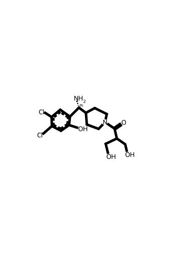 N[C@@H](c1cc(Cl)c(Cl)cc1O)C1CCN(C(=O)C(CO)CO)CC1